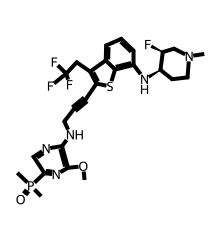 COc1nc(P(C)(C)=O)cnc1NCC#Cc1sc2c(N[C@@H]3CCN(C)C[C@@H]3F)cccc2c1CC(F)(F)F